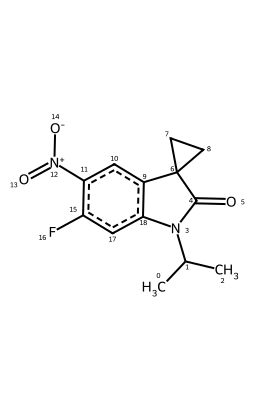 CC(C)N1C(=O)C2(CC2)c2cc([N+](=O)[O-])c(F)cc21